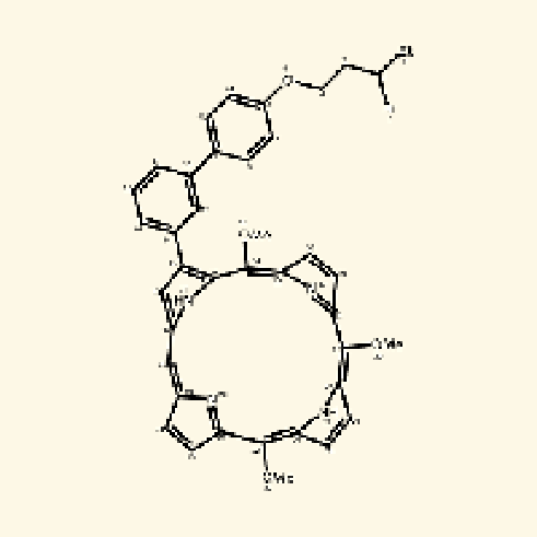 CCC(Br)CCOc1ccc(-c2cccc(-c3cc4cc5nc(c(OC)c6ccc([nH]6)c(OC)c6nc(c(OC)c3[nH]4)C=C6)C=C5)c2)cc1